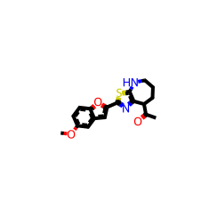 COc1ccc2oc(-c3nc4c(s3)NCCCC4C(C)=O)cc2c1